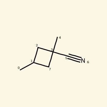 CC1CC(C)(C#N)C1